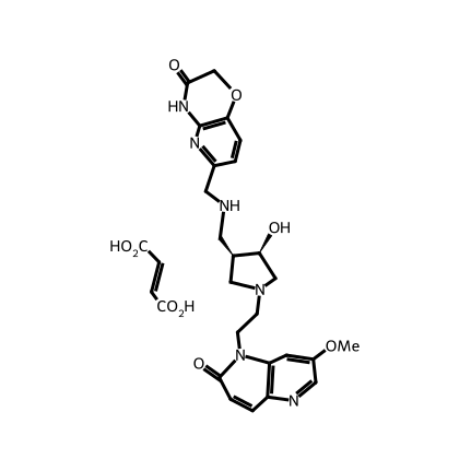 COc1cnc2ccc(=O)n(CCN3C[C@@H](CNCc4ccc5c(n4)NC(=O)CO5)[C@@H](O)C3)c2c1.O=C(O)/C=C/C(=O)O